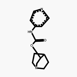 O=C(Nc1ccncc1)OC1CN2CCC1CC2